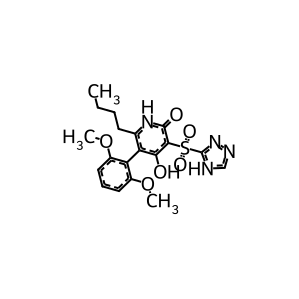 CCCCc1[nH]c(=O)c(S(=O)(=O)c2nnc[nH]2)c(O)c1-c1c(OC)cccc1OC